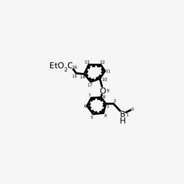 CBCc1ccccc1Oc1cccc(CC(=O)OCC)c1